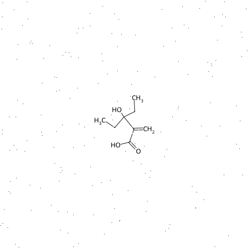 C=C(C(=O)O)C(O)(CC)CC